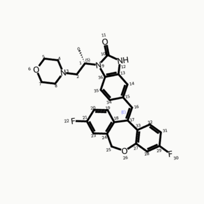 C[C@@H](CN1CCOCC1)n1c(=O)[nH]c2cc(/C=C3\c4ccc(F)cc4COc4cc(F)ccc43)ccc21